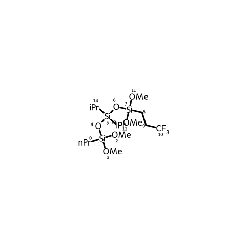 CCC[Si](OC)(OC)O[Si](O[Si](CCC(F)(F)F)(OC)OC)(C(C)C)C(C)C